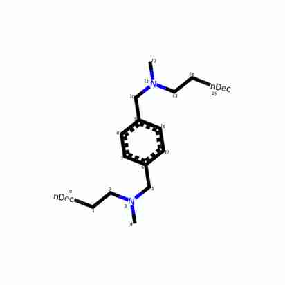 CCCCCCCCCCCCN(C)Cc1ccc(CN(C)CCCCCCCCCCCC)cc1